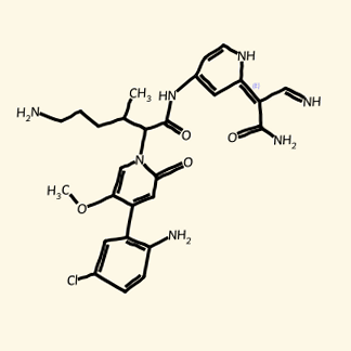 COc1cn(C(C(=O)NC2=C/C(=C(/C=N)C(N)=O)NC=C2)C(C)CCCN)c(=O)cc1-c1cc(Cl)ccc1N